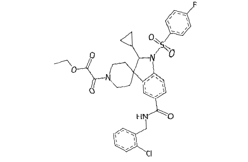 CCOC(=O)C(=O)N1CCC2(CC1)c1cc(C(=O)NCc3ccccc3Cl)ccc1N(S(=O)(=O)c1ccc(F)cc1)C2C1CC1